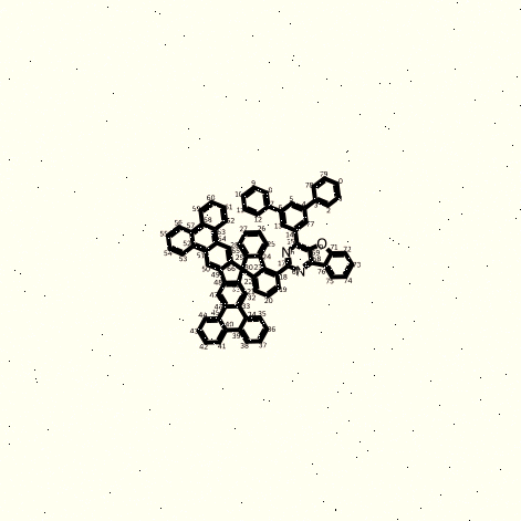 c1ccc(-c2cc(-c3ccccc3)cc(-c3nc(-c4cccc5c4-c4ccccc4C54c5cc6c7ccccc7c7ccccc7c6cc5-c5cc6c7ccccc7c7ccccc7c6cc54)nc4c3oc3ccccc34)c2)cc1